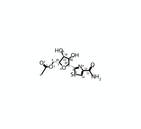 CC(=O)OC[C@H]1O[C@@H](c2nc(C(N)=O)c[se]2)[C@H](O)[C@@H]1O